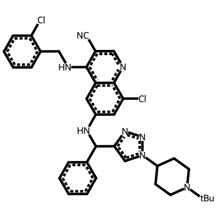 CC(C)(C)N1CCC(n2cc(C(Nc3cc(Cl)c4ncc(C#N)c(NCc5ccccc5Cl)c4c3)c3ccccc3)nn2)CC1